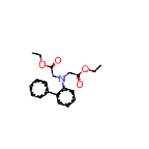 CCOC(=O)CN(CC(=O)OCC)c1ccccc1-c1ccccc1